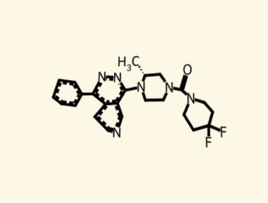 C[C@@H]1CN(C(=O)N2CCC(F)(F)CC2)CCN1c1nnc(-c2ccccc2)c2ccncc12